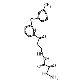 NNC(=O)C(=O)NNCCC(=O)c1cccc(Oc2cccc(C(F)(F)F)c2)n1